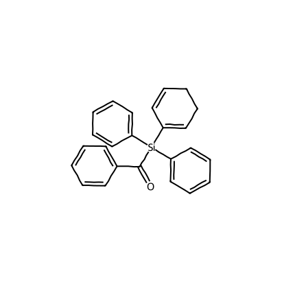 O=C(c1ccccc1)[Si](C1=CCCC=C1)(c1ccccc1)c1ccccc1